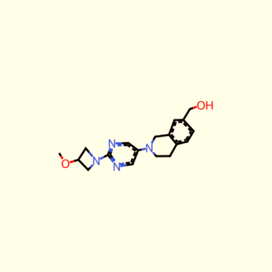 COC1CN(c2ncc(N3CCc4ccc(CO)cc4C3)cn2)C1